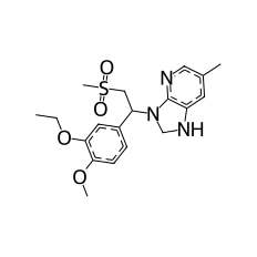 CCOc1cc(C(CS(C)(=O)=O)N2CNc3cc(C)cnc32)ccc1OC